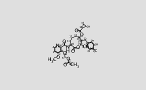 COc1ccnc(C(=O)N[C@H]2CCC[C@H](OC(=O)C3CC3)[C@@H](Cc3ccc(F)cc3)[C@H](C)OC2=O)c1OCOC(C)=O